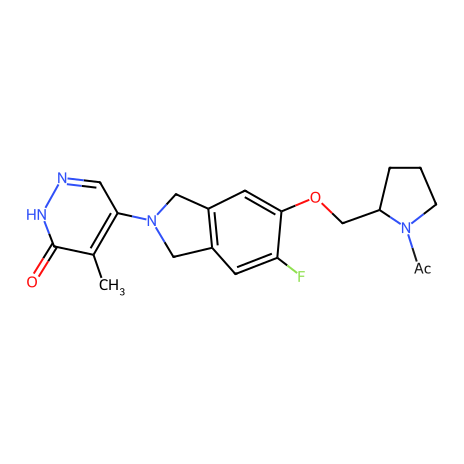 CC(=O)N1CCCC1COc1cc2c(cc1F)CN(c1cn[nH]c(=O)c1C)C2